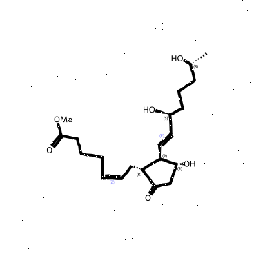 COC(=O)CCC/C=C\C[C@H]1C(=O)C[C@@H](O)[C@@H]1/C=C/[C@@H](O)CCC[C@@H](C)O